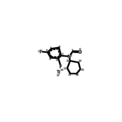 O=CN(c1ccc(F)[c]c1F)C1CCCCC1.[Ti]